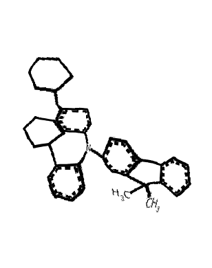 CC1(C)c2ccccc2-c2ccc(N(c3ccc(C4CCCCC4)cc3)c3ccccc3C3CCCCC3)cc21